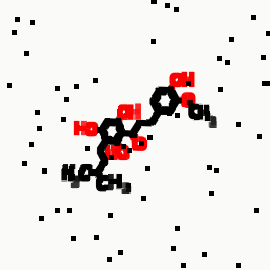 COc1cc(CCC(=O)c2c(O)cc(O)c(CCC(C)C)c2O)ccc1O